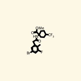 COC(=O)C1(NC(=O)Cc2cc(Br)cc(F)c2C)CCC(C(F)(F)F)CC1